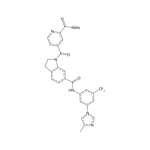 CNC(=O)c1cc(C(=O)N2CCc3ccc(C(=O)Nc4cc(-n5cnc(C)c5)cc(C(F)(F)F)c4)cc32)ccn1